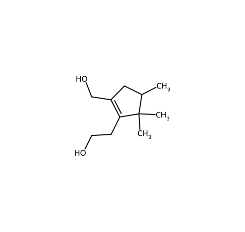 CC1CC(CO)=C(CCO)C1(C)C